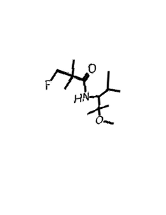 COC(C)(C)C(NC(=O)C(C)(C)CF)C(C)C